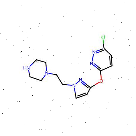 Clc1ccc(Oc2ccn(CCN3CCNCC3)n2)nn1